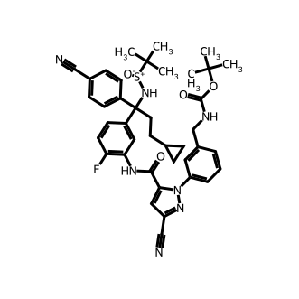 CC(C)(C)OC(=O)NCc1cccc(-n2nc(C#N)cc2C(=O)Nc2cc(C(CCC3CC3)(N[S+]([O-])C(C)(C)C)c3ccc(C#N)cc3)ccc2F)c1